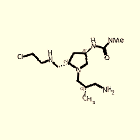 CNC(=O)N[C@@H]1C[C@@H](CNCCCl)N(C[C@@H](C)CN)C1